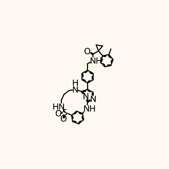 Cc1ccccc1C1(C(=O)NCc2ccc(-c3cnc4nc3NCCCNS(=O)(=O)c3cccc(c3)N4)cc2)CC1